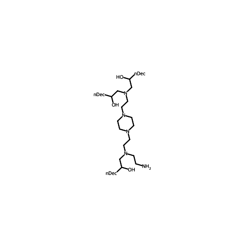 CCCCCCCCCCC(O)CN(CCN)CCN1CCN(CCN(CC(O)CCCCCCCCCC)CC(O)CCCCCCCCCC)CC1